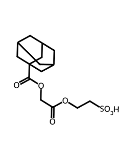 O=C(COC(=O)C12CC3CC(CC(C3)C1)C2)OCCS(=O)(=O)O